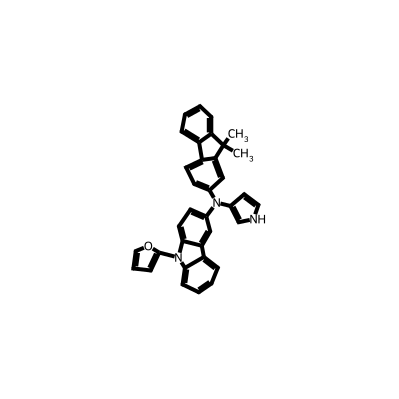 CC1(C)c2ccccc2-c2ccc(N(c3cc[nH]c3)c3ccc4c(c3)c3ccccc3n4-c3ccco3)cc21